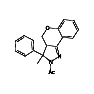 CC(=O)N1N=C2c3ccccc3OCC2C1(C)c1ccccc1